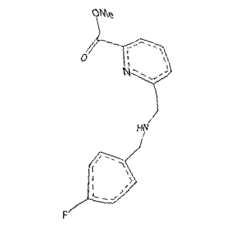 COC(=O)c1cccc(CNCc2ccc(F)cc2)n1